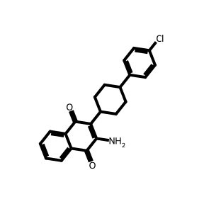 NC1=C(C2CCC(c3ccc(Cl)cc3)CC2)C(=O)c2ccccc2C1=O